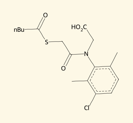 CCCCC(=O)SCC(=O)N(CC(=O)O)c1c(C)ccc(Cl)c1C